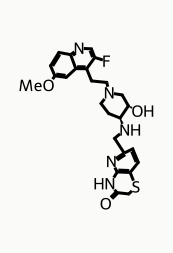 COc1ccc2ncc(F)c(CCN3CC[C@H](NCc4ccc5c(n4)NC(=O)CS5)[C@@H](O)C3)c2c1